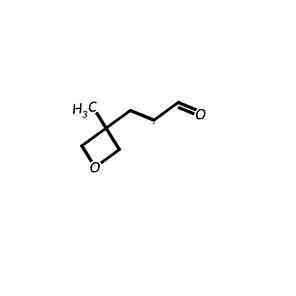 CC1(C[CH]C=O)COC1